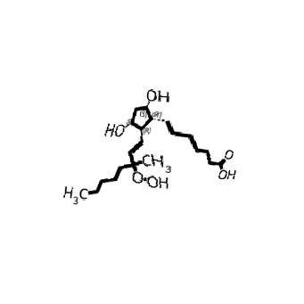 CCCCCC(C)(C=C[C@@H]1[C@@H](CCCCCCC(=O)O)[C@@H](O)C[C@H]1O)OO